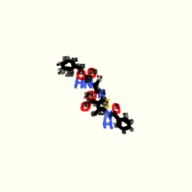 Cc1c(NC(=O)c2ccccc2)sc2nc(C(C)NC(=O)OCc3ccccc3)oc(=O)c12